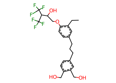 CCc1cc(CCCc2ccc(CO)c(CO)c2)ccc1OCC(O)C(C(F)(F)F)C(F)(F)F